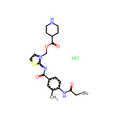 Cc1cc(C(=O)/N=c2\sccn2COC(=O)C2CCNCC2)ccc1NC(=O)CC(C)(C)C.Cl